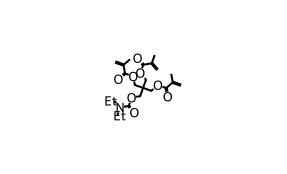 C=C(C)C(=O)OCC(COC(=O)C(=C)C)(COC(=O)C(=C)C)COC(=O)N(CC)CC